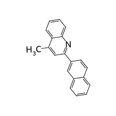 Cc1cc(-c2ccc3ccccc3c2)nc2ccccc12